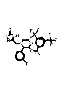 C[C@@H](OC1OCCN(Cc2n[nH]c(=O)[nH]2)C1c1cccc(F)c1)c1cc(C(F)(F)F)cc(C(F)(F)F)c1